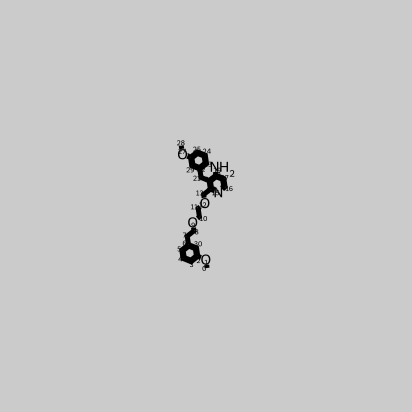 COc1cccc(CCOCCOCc2nccc(N)c2Cc2cccc(OC)c2)c1